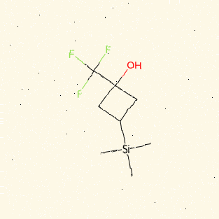 C[Si](C)(C)C1CC(O)(C(F)(F)F)C1